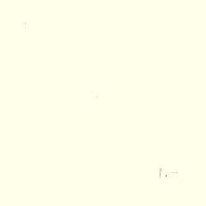 CC(=O)CCCCCOCCCCCCN